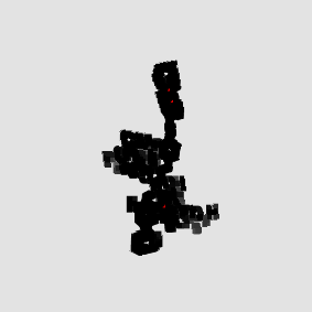 COC(=O)NC(C(=O)NC(Cc1ccc(C#Cc2ccc(N3CC4CCC(C3)N4C3COC3)cc2)cc1)C(O)CN(Cc1c(F)cc(-c2ccccn2)cc1F)NC(=O)C(NC(=O)O)C(C)(C)C(F)(F)F)C(C)(C)C(F)(F)F